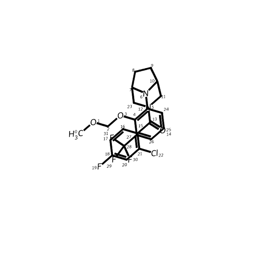 COCOc1c(N2C3CCC2CN(C(=O)c2ccc(F)cc2Cl)C3)cccc1C(F)(F)F